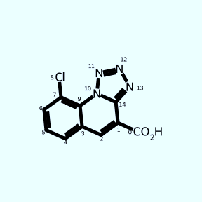 O=C(O)c1cc2cccc(Cl)c2n2nnnc12